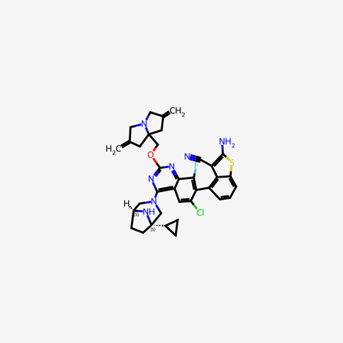 C=C1CN2CC(=C)CC2(COc2nc(N3C[C@@H]4CC[C@](C5CC5)(C3)N4)c3cc(Cl)c(-c4cccc5sc(N)c(C#N)c45)c(F)c3n2)C1